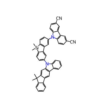 CC1(C)c2ccccc2-c2cc3c4ccccc4n(-c4ccc5c(c4)-c4cc(-n6c7ccc(C#N)cc7c7cc(C#N)ccc76)ccc4[Si]5(C)C)c3cc21